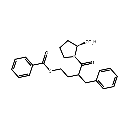 O=C(SCCC(Cc1ccccc1)C(=O)N1CCC[C@H]1C(=O)O)c1ccccc1